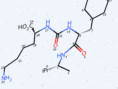 CC(C)[C@@H](C)NC(=O)[C@@H](CC1CCCCC1)NC(=O)N[C@@H](CCCCN)C(=O)O